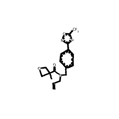 C=CCN(Cc1ccc(-c2noc(C(F)(F)F)n2)cc1)C(=O)C1(C)COC1